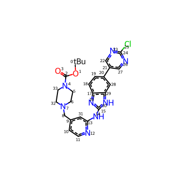 CC(C)(C)OC(=O)N1CCN(Cc2ccnc(Nc3nc4ccc(-c5cnc(Cl)nc5)cc4[nH]3)c2)CC1